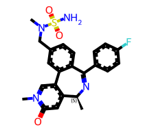 C[C@@H]1N=C(c2ccc(F)cc2)c2ccc(CN(C)S(N)(=O)=O)cc2-c2cn(C)c(=O)cc21